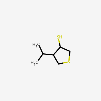 CC(C)C1CSCC1S